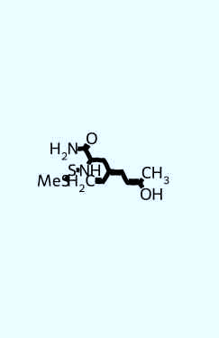 C=C/C(=C\C=C(/C)O)CC(NSSC)C(N)=O